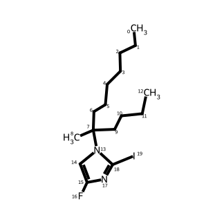 CCCCCCCC(C)(CCCC)n1cc(F)nc1I